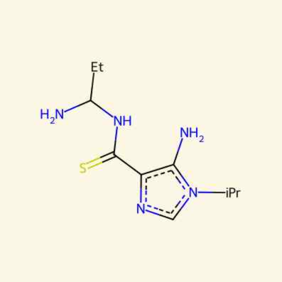 CCC(N)NC(=S)c1ncn(C(C)C)c1N